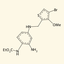 CCOC(=O)Nc1ccc(NCc2scc(Br)c2OC)cc1N